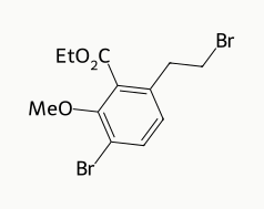 CCOC(=O)c1c(CCBr)ccc(Br)c1OC